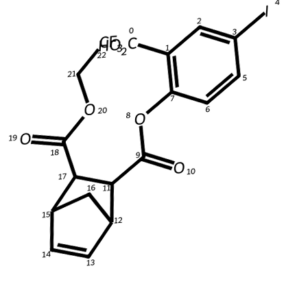 O=C(O)c1cc(I)ccc1OC(=O)C1C2C=CC(C2)C1C(=O)OCC(F)(F)F